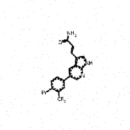 CC(C)c1ccc(-c2cnc3[nH]cc(C=CC(N)=O)c3c2)cc1C(F)(F)F